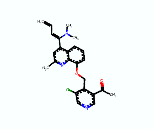 C=C/C=C(/c1cc(C)nc2c(OCc3c(Cl)cncc3C(C)=O)cccc12)N(C)C